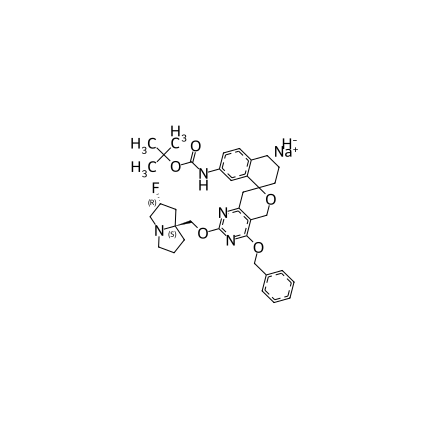 CC(C)(C)OC(=O)Nc1ccc2c(c1)C1(CCC2)Cc2nc(OC[C@@]34CCCN3C[C@H](F)C4)nc(OCc3ccccc3)c2CO1.[H-].[Na+]